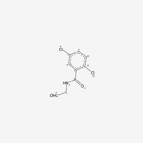 O=CCNC(=O)c1cc(Cl)ccc1Cl